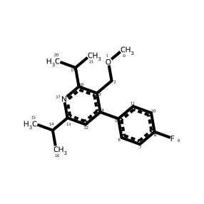 COCc1c(-c2ccc(F)cc2)[c]c(C(C)C)nc1C(C)C